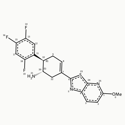 COc1ccc2nc(C3=CC[C@H](c4cc(F)c(F)cc4F)[C@@H](N)C3)sc2n1